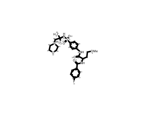 COCCC(NC(=O)c1ccc(F)cc1)C(=O)Nc1ccc(S(=O)(=O)NC(C)(C)CN2CCOCC2)cc1